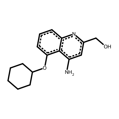 Nc1cc(CO)nc2cccc(OC3CCCCC3)c12